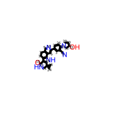 N#Cc1cc(-c2cc3c(cn2)CCc2c-3[nH]c3c2C(=O)NCC32CC2)ccc1N1CCC(O)C1